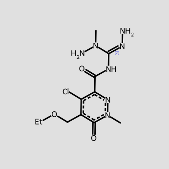 CCOCc1c(Cl)c(C(=O)N/C(=N/N)N(C)N)nn(C)c1=O